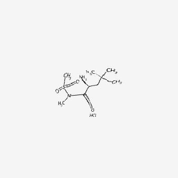 CN(C(=O)[C@@H](N)CC(C)(C)C)S(C)(=O)=O.Cl